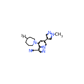 [2H]C1CCCN(c2cc(-c3cnn(C)c3)cn3ncc(C#N)c23)CC1